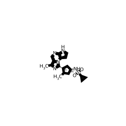 Cc1nc([C@@H]2C[C@H](NS(=O)(=O)C3CC3)CC2C)n2c1cnc1[nH]ccc12